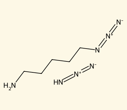 [N-]=[N+]=N.[N-]=[N+]=NCCCCCN